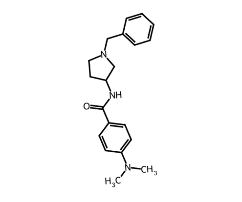 CN(C)c1ccc(C(=O)NC2CCN(Cc3ccccc3)C2)cc1